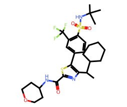 CC(c1nc(C(=O)NC2CCOCC2)sc1-c1ccc(S(=O)(=O)NC(C)(C)C)c(C(F)(F)F)c1)C1CCCCC1